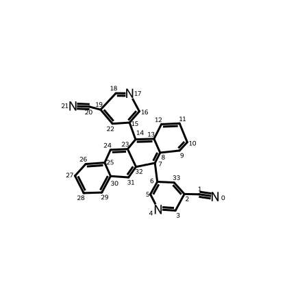 N#Cc1cncc(-c2c3ccccc3c(-c3cncc(C#N)c3)c3cc4ccccc4cc23)c1